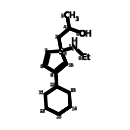 CCNS1(CC(C)O)C=CC(C2CCCCC2)=C1